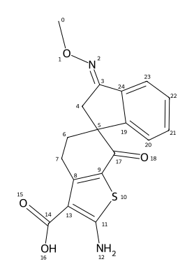 CON=C1CC2(CCc3c(sc(N)c3C(=O)O)C2=O)c2ccccc21